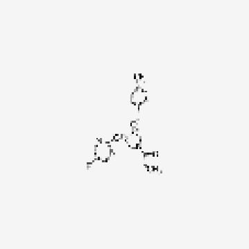 C=CC(=O)N1C[C@@H](OCc2ccc(C(F)(F)F)cc2)[C@H](Oc2ncc(F)cn2)C1